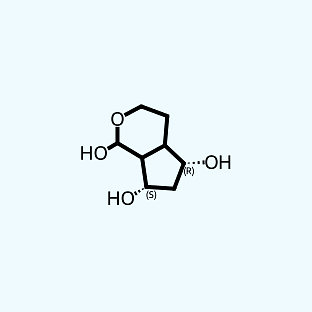 OC1OCCC2C1[C@@H](O)C[C@H]2O